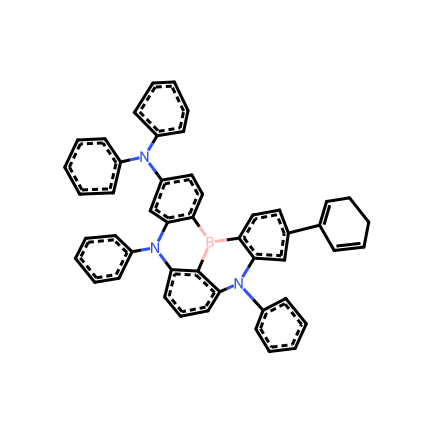 C1=CC(c2ccc3c(c2)N(c2ccccc2)c2cccc4c2B3c2ccc(N(c3ccccc3)c3ccccc3)cc2N4c2ccccc2)=CCC1